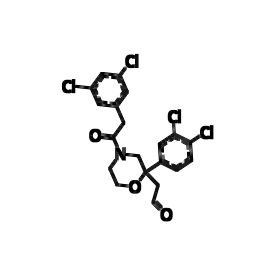 O=CCC1(c2ccc(Cl)c(Cl)c2)CN(C(=O)Cc2cc(Cl)cc(Cl)c2)CCO1